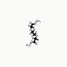 COC(=O)C(F)(F)OC(F)(F)C(F)(F)OC(F)(F)C(=O)OC